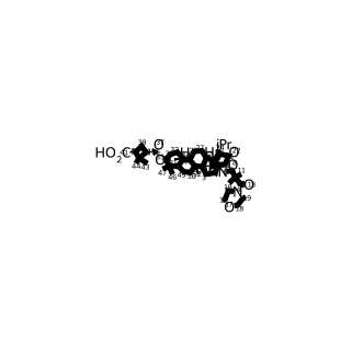 C#C[C@@]12CC[C@@]3(NC(=O)C(C)(C)C(=O)N4CCOCC4)CC(=O)C(C(C)C)=C3[C@H]1CC[C@@H]1[C@@]3(C)CC[C@H](OC(=O)[C@H]4C[C@@H](C(=O)O)C4(C)C)C(C)(C)C3CC[C@]12C